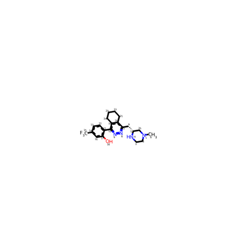 CN1CCN[C@H](Cc2nnc(-c3ccc(C(F)(F)F)cc3O)c3c2CCCC3)C1